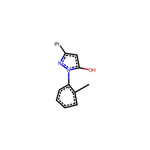 Cc1ccccc1-n1nc(C(C)C)cc1O